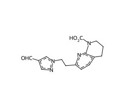 O=Cc1cnn(CCc2ccc3c(n2)N(C(=O)O)CCC3)c1